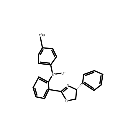 CC(C)(C)c1ccc([S+]([O-])c2ccccc2C2=N[C@H](c3ccccc3)CO2)cc1